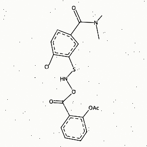 CC(=O)Oc1ccccc1C(=O)ONSc1cc(C(=O)N(C)C)ccc1Cl